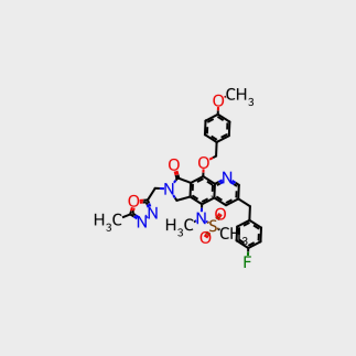 COc1ccc(COc2c3c(c(N(C)S(C)(=O)=O)c4cc(Cc5ccc(F)cc5)cnc24)CN(Cc2nnc(C)o2)C3=O)cc1